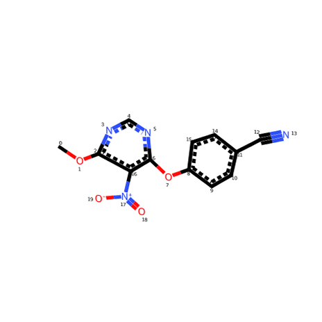 COc1ncnc(Oc2ccc(C#N)cc2)c1[N+](=O)[O-]